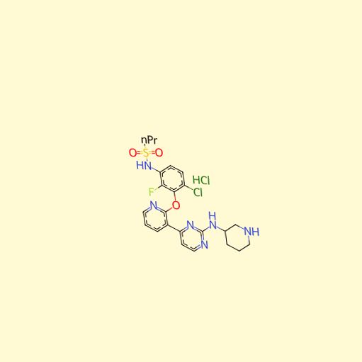 CCCS(=O)(=O)Nc1ccc(Cl)c(Oc2ncccc2-c2ccnc(NC3CCCNC3)n2)c1F.Cl